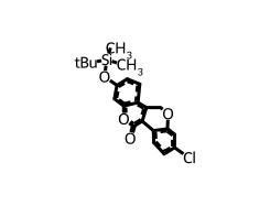 CC(C)(C)[Si](C)(C)Oc1ccc2c3c(c(=O)oc2c1)-c1ccc(Cl)cc1OC3